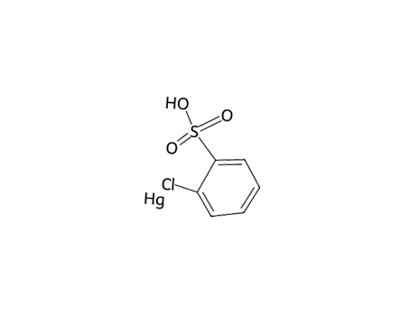 O=S(=O)(O)c1ccccc1Cl.[Hg]